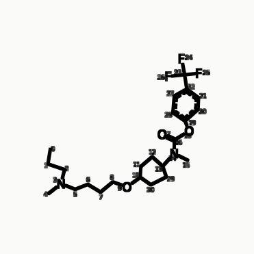 CCCN(C)CCCCOC1CCC(N(C)C(=O)Oc2ccc(C(F)(F)F)cc2)CC1